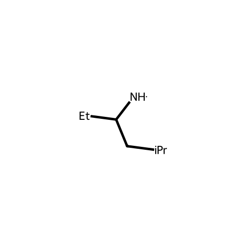 CCC([NH])CC(C)C